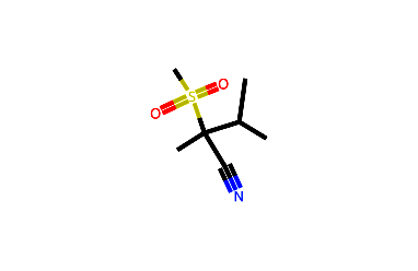 CC(C)C(C)(C#N)S(C)(=O)=O